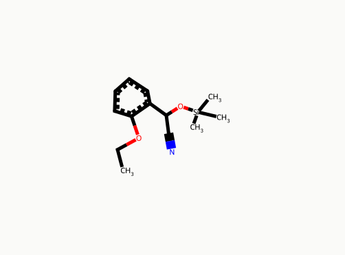 CCOc1ccccc1C(C#N)O[Si](C)(C)C